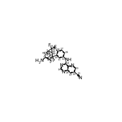 COC[C@@]12SC(N)=N[C@@](C)(c3cc(Nc4ncnc5cc(C#N)cnc45)ccc3F)[C@@H]1C2(F)F